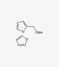 COCc1ccco1.c1ccoc1